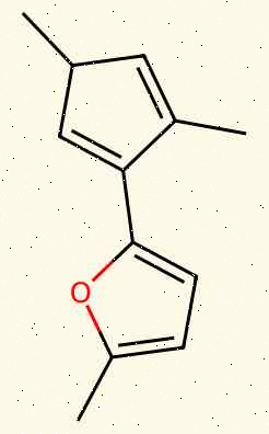 CC1=CC(C)C=C1c1ccc(C)o1